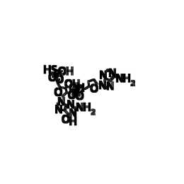 Nc1nc2c(ncn2[C@@H]2OC(COP(=O)(O)S)[C@@H](O)[C@H]2OP(=O)(O)OCC2CC[C@H](n3cnc4c(N)ncnc43)O2)c(=O)[nH]1